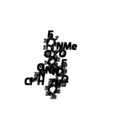 CNC(=O)c1c(-c2ccc(F)cc2)oc2cc(NC(=O)NCCCl)c(-c3nc4c(cc3F)OCn3c-4cc4ccccc43)cc12